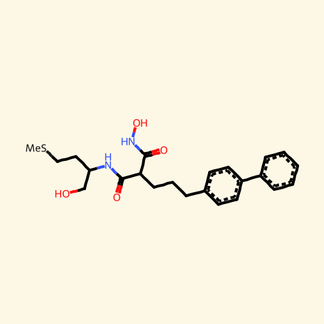 CSCCC(CO)NC(=O)C(CCCc1ccc(-c2ccccc2)cc1)C(=O)NO